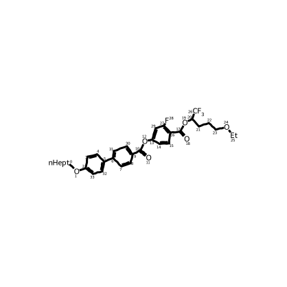 CCCCCCCOc1ccc(-c2ccc(C(=O)Oc3ccc(C(=O)OC(CCCOCC)C(F)(F)F)c(F)c3)cc2)cc1